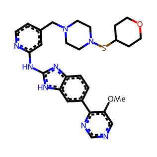 COc1cncnc1-c1ccc2nc(Nc3cc(CN4CCN(SC5CCOCC5)CC4)ccn3)[nH]c2c1